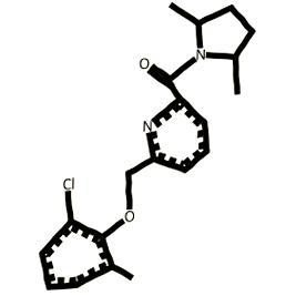 Cc1cccc(Cl)c1OCc1cccc(C(=O)N2C(C)CCC2C)n1